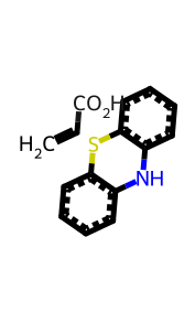 C=CC(=O)O.c1ccc2c(c1)Nc1ccccc1S2